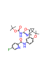 CC(C)(C)OC(=O)NC1=N[C@@]2(CO1)c1cc(NC(=O)c3ccc(F)cn3)ccc1OC(C)(C)C21CC1